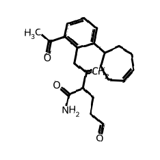 C=C(Cc1c(C(C)=O)cccc1C1CCC=CCC1)C(CCC=O)C(N)=O